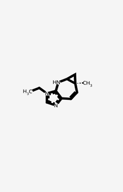 CCn1cnc2c1NC1C[C@@]1(C)C=C2